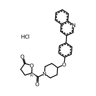 Cl.O=C1CC[C@H](C(=O)N2CCC(Oc3ccc(-c4cnc5ccccc5c4)cc3)CC2)O1